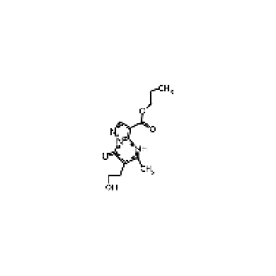 CCCOC(=O)c1cnn2c(=O)c(CCO)c(C)[nH]c12